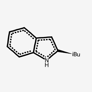 CC[C@H](C)c1cc2ccccc2[nH]1